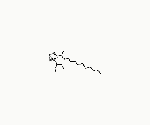 CCCCCCCCCCCC(C)n1ccnc1C(CC)CC